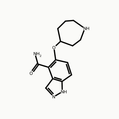 NC(=O)c1c(OC2CCCNCC2)ccc2[nH]ncc12